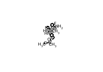 COCCN(C)CC(=O)N1CCc2cc(OC)c(Nc3nc(Nc4cccc(F)c4C(N)=O)c4ccnc-4[nH]3)cc21